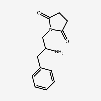 NC(Cc1ccccc1)CN1C(=O)CCC1=O